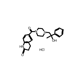 CC(O)(CN1CCN(C(=O)c2ccc3c(c2)CCC(=O)N3)CC1)c1ccccc1.Cl